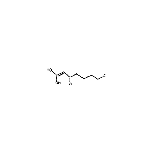 OC(O)=CC(Cl)CCCCCl